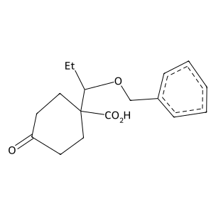 CCC(OCc1ccccc1)C1(C(=O)O)CCC(=O)CC1